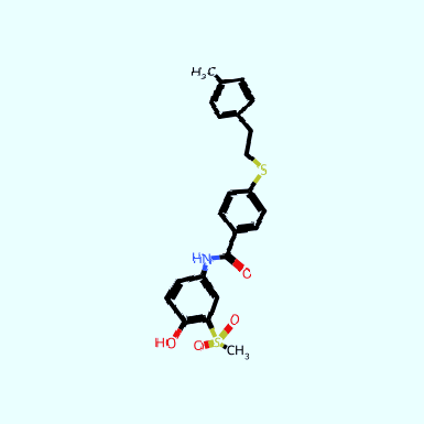 Cc1ccc(CCSc2ccc(C(=O)Nc3ccc(O)c(S(C)(=O)=O)c3)cc2)cc1